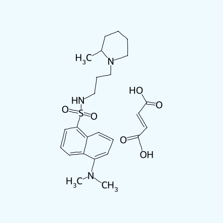 CC1CCCCN1CCCNS(=O)(=O)c1cccc2c(N(C)C)cccc12.O=C(O)C=CC(=O)O